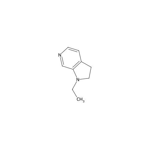 CCN1CCc2ccncc21